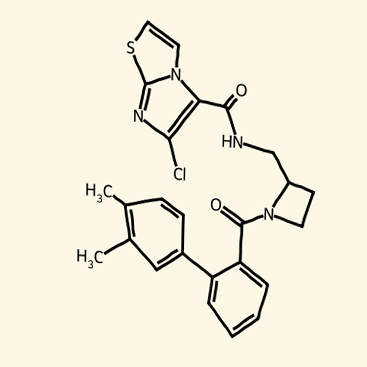 Cc1ccc(-c2ccccc2C(=O)N2CCC2CNC(=O)c2c(Cl)nc3sccn23)cc1C